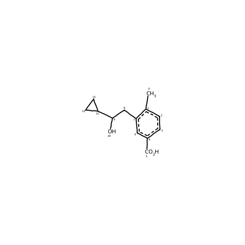 Cc1ccc(C(=O)O)cc1CC(O)C1CC1